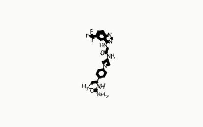 CCC(NC(N)=O)[C@H]1CC[C@@H](N2CC(NC(=O)CNc3ncnc4ccc(C(F)(F)F)cc34)C2)CC1